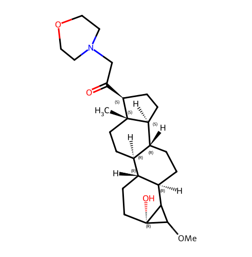 COC1C2[C@@H]3CC[C@@H]4[C@H](CC[C@]5(C)[C@@H](C(=O)CN6CCOCC6)CC[C@@H]45)[C@H]3CC[C@]12O